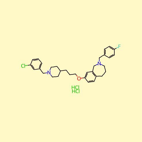 Cl.Cl.Fc1ccc(CN2CCCc3ccc(OCCCC4CCN(Cc5cccc(Cl)c5)CC4)cc3C2)cc1